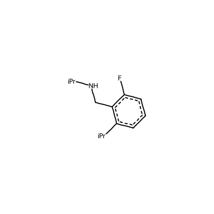 CC(C)NCc1c(F)cccc1C(C)C